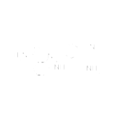 NCC1CCCN1Cc1ccc(-c2nc3c(C(N)=O)cccc3[nH]2)cc1